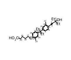 CCC(O)(C#Cc1ccc(C(CC)(CC)c2ccc(OCCCCC(=O)O)c(C)c2)cc1C)CC